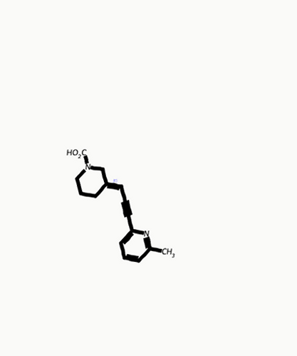 Cc1cccc(C#C/C=C2\CCCN(C(=O)O)C2)n1